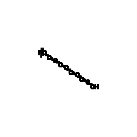 OCCOCCOCCOCCOCCOCCOCCOCCOCCOC(F)(F)F